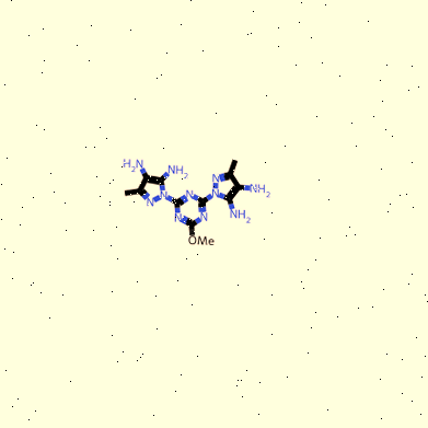 COc1nc(-n2nc(C)c(N)c2N)nc(-n2nc(C)c(N)c2N)n1